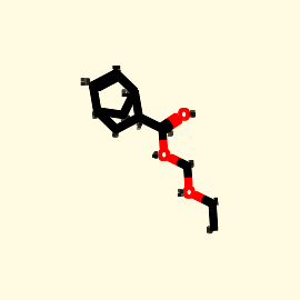 CCOCOC(=O)C1CC2C=CC1C2